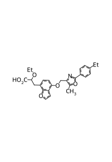 CCOC(Cc1ccc(OCc2nc(-c3ccc(CC)cc3)oc2C)c2ccoc12)C(=O)O